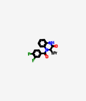 CCCC1C(=O)Nc2ccccc2N1C(=O)c1ccc(F)c(F)c1